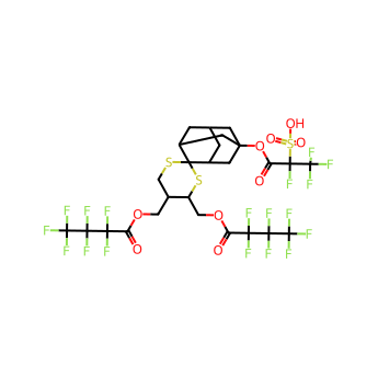 O=C(OCC1CSC2(SC1COC(=O)C(F)(F)C(F)(F)C(F)(F)F)C1CC3CC2CC(OC(=O)C(F)(C(F)(F)F)S(=O)(=O)O)(C3)C1)C(F)(F)C(F)(F)C(F)(F)F